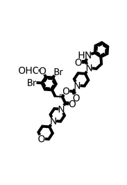 O=COc1c(Br)cc(C[C@@H](OC(=O)N2CCC(N3CCc4ccccc4NC3=O)CC2)C(=O)N2CCN(C3CCOCC3)CC2)cc1Br